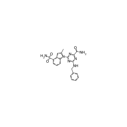 Cc1cc2c(S(N)(=O)=O)cccc2n1-c1nc(NCc2ccccc2)nc(C(N)=O)n1